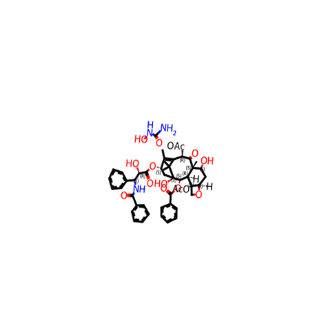 CC(=O)O[C@H]1C(=O)[C@@]2(C)[C@H]([C@H](OC(=O)c3ccccc3)[C@]3(O)C[C@H](OC(=O)[C@H](O)[C@@H](NC(=O)c4ccccc4)c4ccccc4)C(C)=C1C3(C)C)[C@]1(OC(C)=O)CO[C@@H]1C[C@@H]2O.NC(=O)NO